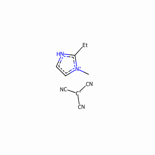 CCc1[nH]cc[n+]1C.N#C[C-](C#N)C#N